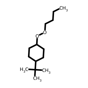 CCCCOOC1CCC(C(C)(C)C)CC1